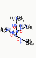 C[N+](C)(C)CCCCNCC(=O)CCN(CCC(=O)NCCC[N+](C)(C)C)CCN(CCC(=O)CNCCCC[N+](C)(C)C)CCC(=O)NCCC[N+](C)(C)C